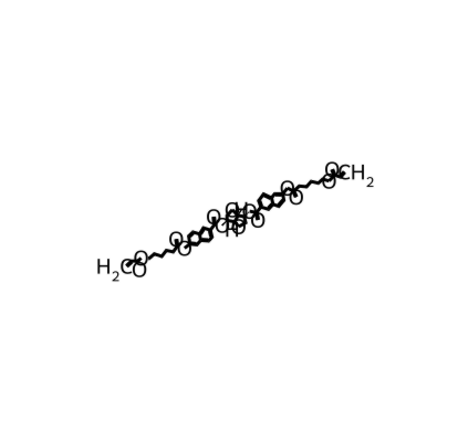 C=CC(=O)OCCCCCC(=O)Oc1ccc2cc(C(=O)O[C@H]3CO[C@H]4[C@@H]3OC[C@H]4OC(=O)c3ccc4cc(OC(=O)CCCCCOC(=O)C=C)ccc4c3)ccc2c1